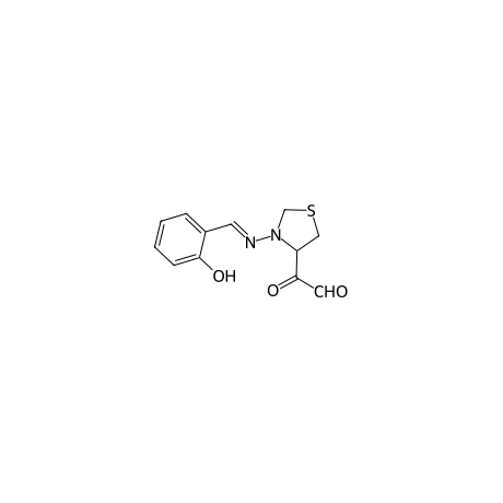 O=CC(=O)C1CSCN1N=Cc1ccccc1O